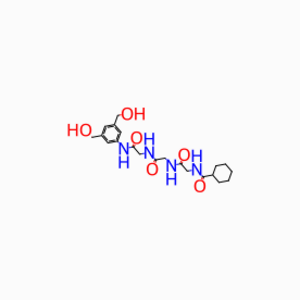 O=C(CNC(=O)CNC(=O)C1CCCCC1)NCC(=O)Nc1cc(CO)cc(CO)c1